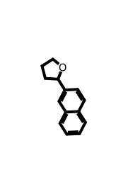 c1ccc2cc(C3CCCO3)ccc2c1